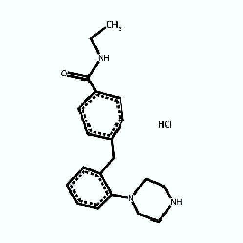 CCNC(=O)c1ccc(Cc2ccccc2N2CCNCC2)cc1.Cl